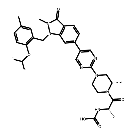 Cc1ccc(OC(F)F)c(Cn2c3cc(-c4cnc(N5CCN(C(=O)[C@H](C)NC(=O)O)[C@@H](C)C5)nc4)ccc3c(=O)n2C)c1